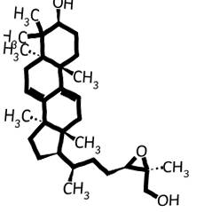 C[C@H](CC[C@H]1O[C@@]1(C)CO)[C@H]1CC[C@@]2(C)C3=CC[C@@]4(C)C(C)(C)[C@@H](O)CC[C@]4(C)C3=CC[C@]12C